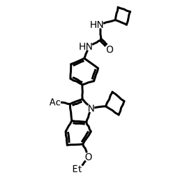 CCOc1ccc2c(C(C)=O)c(-c3ccc(NC(=O)NC4CCC4)cc3)n(C3CCC3)c2c1